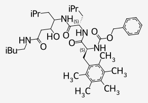 CCC(C)CNC(=O)CC(O)C(CC(C)C)NC(=O)[C@H](CC(C)C)NC(=O)[C@H](Cc1c(C)c(C)c(C)c(C)c1C)NC(=O)OCc1ccccc1